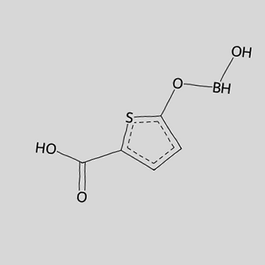 O=C(O)c1ccc(OBO)s1